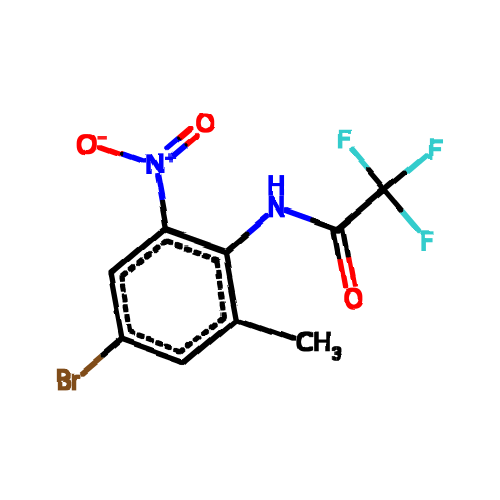 Cc1cc(Br)cc([N+](=O)[O-])c1NC(=O)C(F)(F)F